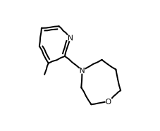 Cc1cccnc1N1CCCOCC1